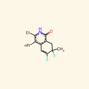 CCCc1c(CC)[nH]c(=O)c2c1C=C(F)C(C)(F)C2